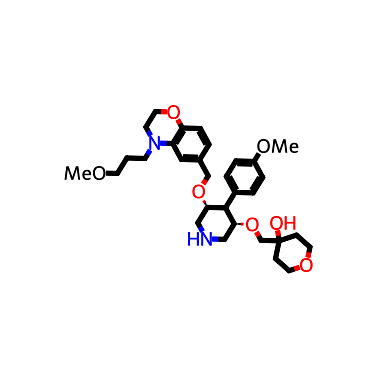 COCCCN1CCOc2ccc(CO[C@H]3CNC[C@@H](OCC4(O)CCOCC4)C3c3ccc(OC)cc3)cc21